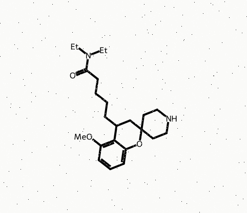 CCN(CC)C(=O)CCCCC1CC2(CCNCC2)Oc2cccc(OC)c21